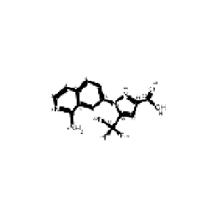 Nc1nccc2ccc(-n3nc(C(=O)O)cc3C(F)(F)F)cc12